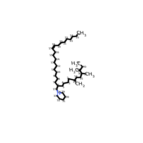 C=C(CCCCC(CCCCCCCCCC/C=C\CCCCCCCC)CN1CCCCC1)CCC(C)C(=C)CC